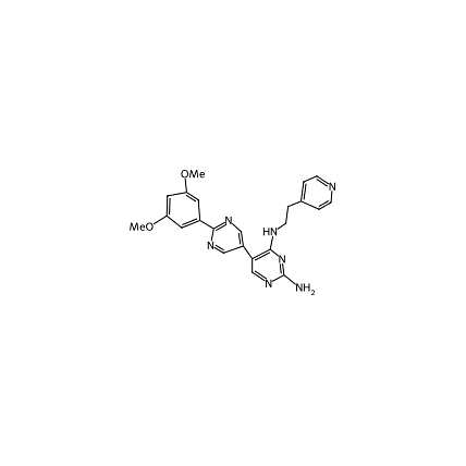 COc1cc(OC)cc(-c2ncc(-c3cnc(N)nc3NCCc3ccncc3)cn2)c1